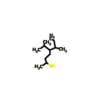 CCC(C)C(CCC(C)S)C(C)C